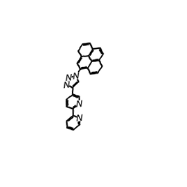 C1=Cc2ccc3c4c(c(-n5cc(-c6ccc(-c7ccccn7)nc6)nn5)cc(c24)C1)C=CC3